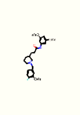 COc1cc(NC(=O)CCC2CCCN(Cc3ccc(F)c(OC)c3)C2)cc(OC)c1